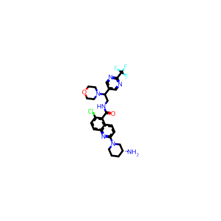 N[C@@H]1CCCN(c2ccc3c(C(=O)NCC(c4cnc(C(F)(F)F)nc4)N4CCOCC4)c(Cl)ccc3n2)C1